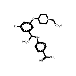 CCc1cc(OC2CCN(CC(=O)O)CC2)cc(C(Nc2ccc(C(=N)N)cc2)C(=O)O)c1